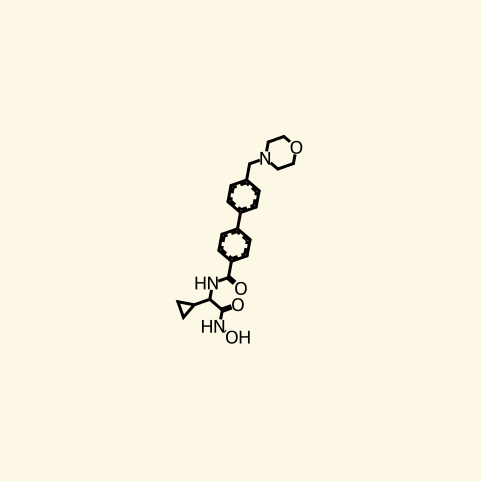 O=C(NC(C(=O)NO)C1CC1)c1ccc(-c2ccc(CN3CCOCC3)cc2)cc1